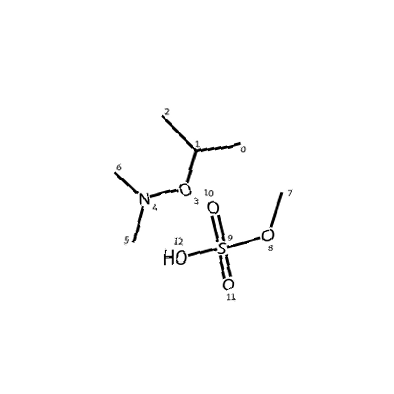 CC(C)ON(C)C.COS(=O)(=O)O